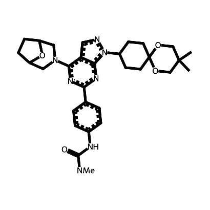 CNC(=O)Nc1ccc(-c2nc(N3CC4CCC(C3)O4)c3cnn(C4CCC5(CC4)OCC(C)(C)CO5)c3n2)cc1